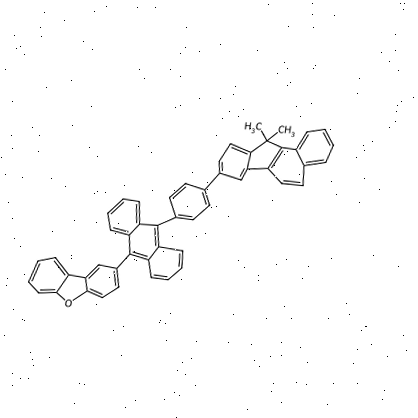 CC1(C)c2ccc(-c3ccc(-c4c5ccccc5c(-c5ccc6oc7ccccc7c6c5)c5ccccc45)cc3)cc2-c2ccc3ccccc3c21